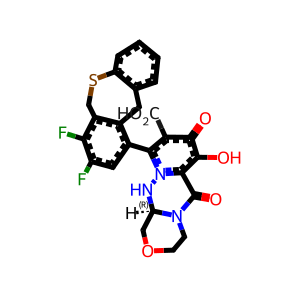 O=C(O)c1c(-c2cc(F)c(F)c3c2Cc2ccccc2SC3)n2c(c(O)c1=O)C(=O)N1CCOC[C@H]1N2